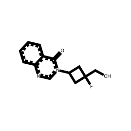 O=c1c2ccccc2ncn1C1CC(F)(CO)C1